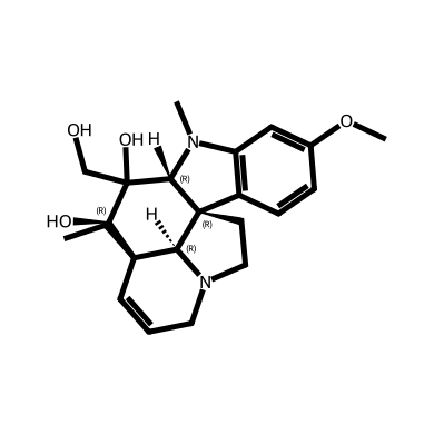 CCC12C=CCN3CC[C@@]4(c5ccc(OC)cc5N(C)[C@H]4C(O)(CO)[C@@H]1O)[C@@H]32